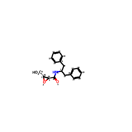 O=C(O)[C@H]1O[C@@H]1C(=O)NC(Cc1ccccc1)Cc1ccccc1